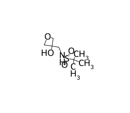 CC(C)(C)S(=O)(=O)NCC1(O)COC1